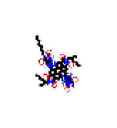 CCCCCCCCn1c(=O)c2c(nc(-c3cc4c5c(ccc6c7c(-c8nc9c(c(=O)n(C)c(=O)n9C)n8C)cc8c9c(ccc(c3c56)c97)C(=O)N(CC(CC)CCCC)C8=O)C(=O)N(CC(CC)CCCC)C4=O)n2C)n(C)c1=O